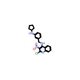 O=[N+]([O-])c1c(Cl)nc2ccccc2c1NCc1cccc(NC2CCCC2)c1